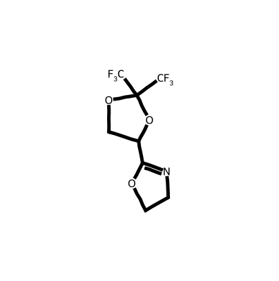 FC(F)(F)C1(C(F)(F)F)OCC(C2=NCCO2)O1